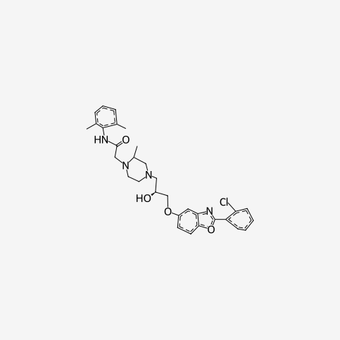 Cc1cccc(C)c1NC(=O)CN1CCN(C[C@H](O)COc2ccc3oc(-c4ccccc4Cl)nc3c2)CC1C